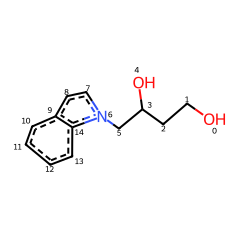 OCCC(O)Cn1ccc2ccccc21